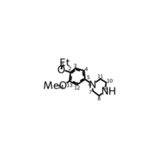 CCOc1ccc(N2CCNCC2)cc1OC